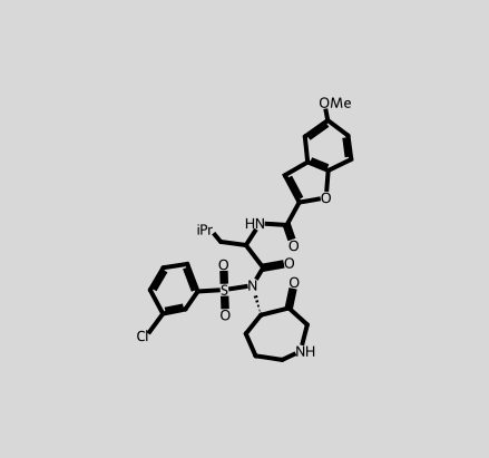 COc1ccc2oc(C(=O)NC(CC(C)C)C(=O)N([C@H]3CCCNCC3=O)S(=O)(=O)c3cccc(Cl)c3)cc2c1